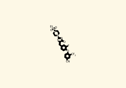 CCS(=O)(=O)N1CCN(C2=NC(=O)/C(=C\c3ccc(Oc4ccc(C#N)cc4C(F)(F)F)c(F)c3)S2)CC1